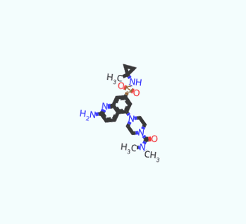 CN(C)C(=O)N1CCN(c2cc(S(=O)(=O)NC3(C)CC3)cc3nc(N)ccc23)CC1